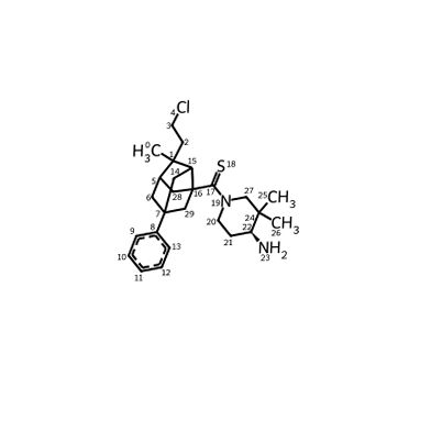 CC1(CCCl)C2CC3(c4ccccc4)CC1C(C(=S)N1CC[C@H](N)C(C)(C)C1)(C2)C3